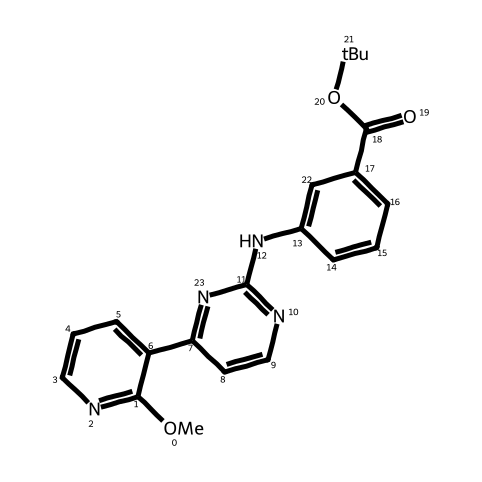 COc1ncccc1-c1ccnc(Nc2cccc(C(=O)OC(C)(C)C)c2)n1